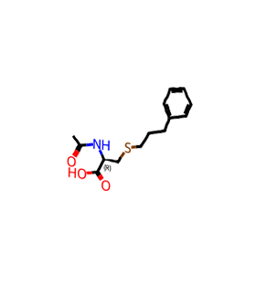 CC(=O)N[C@@H](CSCCCc1ccccc1)C(=O)O